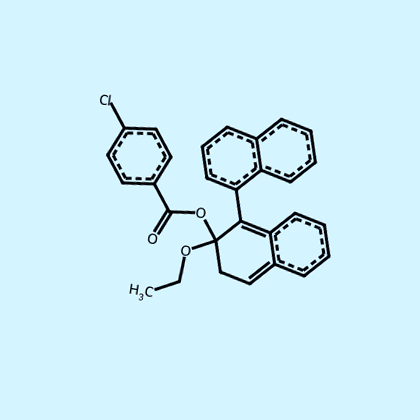 CCOC1(OC(=O)c2ccc(Cl)cc2)CC=c2ccccc2=C1c1cccc2ccccc12